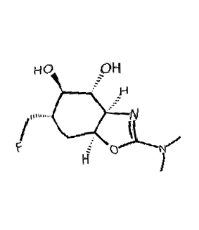 CN(C)C1=N[C@@H]2[C@@H](O)[C@H](O)[C@@H](CF)C[C@@H]2O1